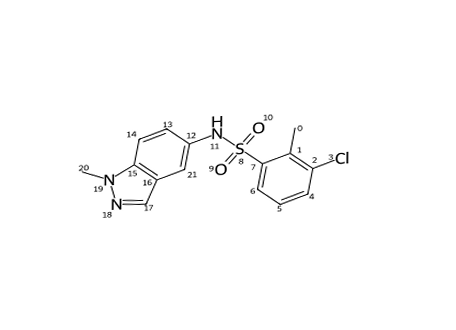 Cc1c(Cl)cccc1S(=O)(=O)Nc1ccc2c(cnn2C)c1